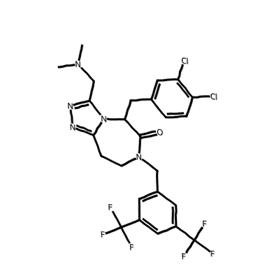 CN(C)Cc1nnc2n1C(Cc1ccc(Cl)c(Cl)c1)C(=O)N(Cc1cc(C(F)(F)F)cc(C(F)(F)F)c1)CC2